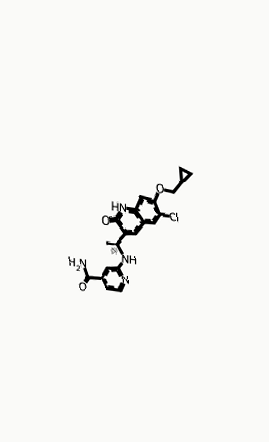 C[C@H](Nc1cc(C(N)=O)ccn1)c1cc2cc(Cl)c(OCC3CC3)cc2[nH]c1=O